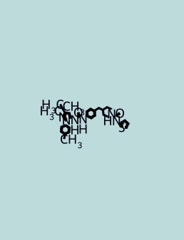 Cc1ccc(-n2nc(C(C)(C)C)cc2NC(=O)Nc2ccc(CC3CCN(C(=O)Nc4cccs4)CC3)cc2)cc1